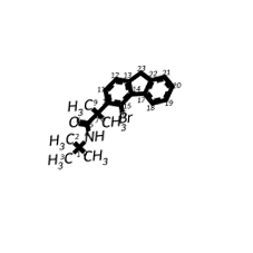 CC(C)(C)NC(=O)C(C)(C)c1ccc2c(c1Br)-c1ccccc1C2